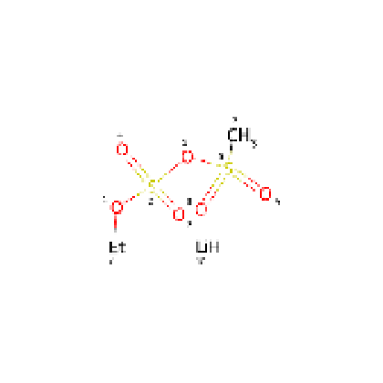 CCOS(=O)(=O)OS(C)(=O)=O.[LiH]